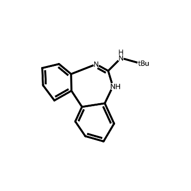 CC(C)(C)NC1=Nc2ccccc2-c2ccccc2N1